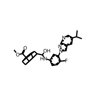 COC(=O)C12C3C4C1C1C2C3C41C(O)Nc1ccc(F)c(-n2cc3cc(C(C)C)cnc3n2)c1